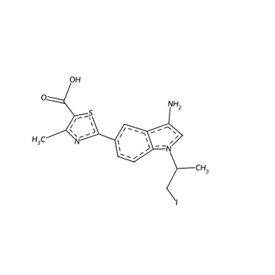 Cc1nc(-c2ccc3c(c2)c(N)cn3C(C)CI)sc1C(=O)O